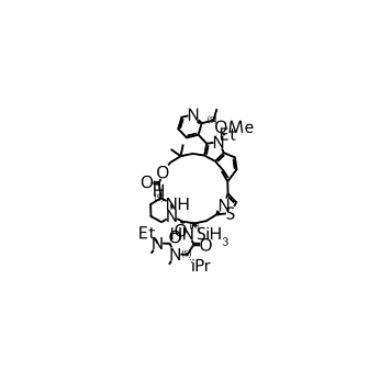 CCN(C)C(=O)N(C)[C@H](C(=O)N[C@@]1([SiH3])Cc2nc(cs2)-c2ccc3c(c2)c(c(-c2cccnc2[C@H](C)OC)n3CC)CC(C)(C)COC(=O)[C@@H]2CCCN(N2)C1=O)C(C)C